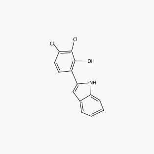 Oc1c(-c2cc3ccccc3[nH]2)ccc(Cl)c1Cl